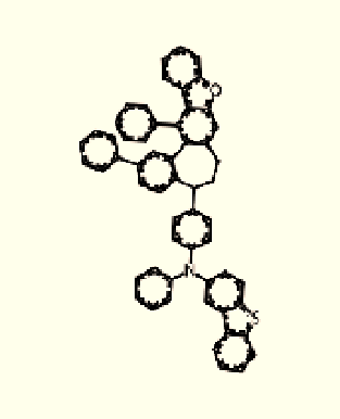 c1ccc(-c2ccc3c(c2)-c2c(cc4oc5ccccc5c4c2-c2ccccc2)CCC3c2ccc(N(c3ccccc3)c3ccc4sc5ccccc5c4c3)cc2)cc1